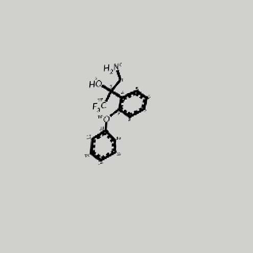 NCC(O)(c1ccccc1Oc1ccccc1)C(F)(F)F